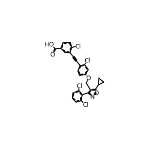 O=C(O)c1ccc(Cl)c(C#Cc2ccc(OCc3c(-c4c(Cl)cccc4Cl)noc3C3CC3)cc2Cl)c1